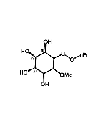 CCCOOC1C(OC)C(O)[C@@H](O)[C@@H](O)[C@H]1O